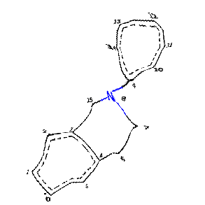 [c]1ccc2c(c1)CCN(c1ccccc1)C2